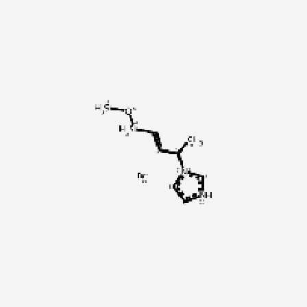 CC(C=C[SiH2]O[SiH3])[n+]1cc[nH]c1.[Br-]